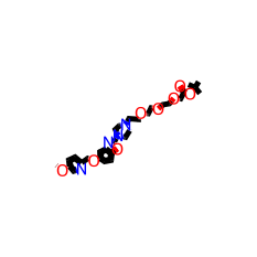 COc1ccc(COc2ccc3oc(N4CCN(CCOCCOCCOCC(=O)OC(C)(C)C)CC4)nc3c2)nc1